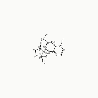 COC(=O)[C@H]1[C@@H](c2cccc(F)c2)C[C@@H]2CC[C@H]1N2C